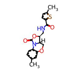 Cc1ccc2c(c1)OC[C@H]1[C@H](CNC(=O)c3ccc(C)s3)OC(=O)N21